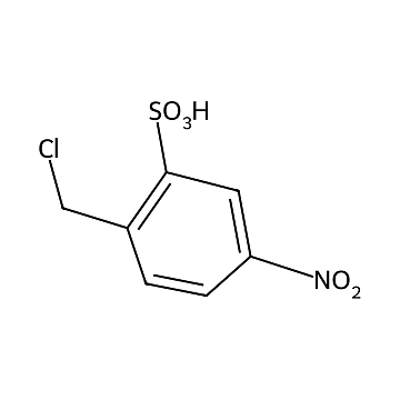 O=[N+]([O-])c1ccc(CCl)c(S(=O)(=O)O)c1